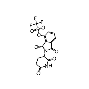 O=C1CCC(N2C(=O)c3cccc(OS(=O)(=O)C(F)(F)F)c3C2=O)C(=O)N1